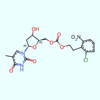 Cc1cn([C@H]2CC(O)[C@@H](COC(=O)OCCc3c(Cl)cccc3[N+](=O)[O-])O2)c(=O)[nH]c1=O